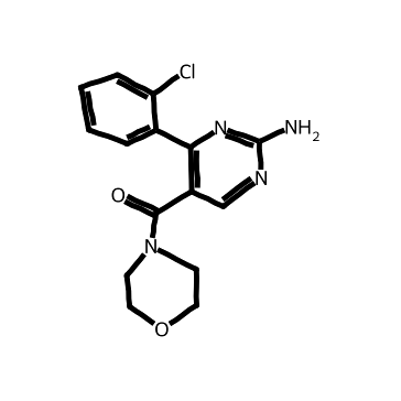 Nc1ncc(C(=O)N2CCOCC2)c(-c2ccccc2Cl)n1